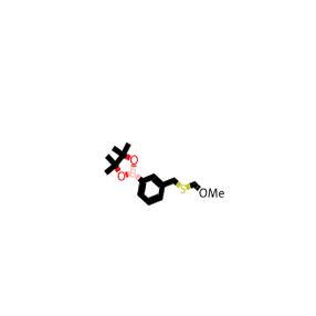 COCSCc1cccc(B2OC(C)(C)C(C)(C)O2)c1